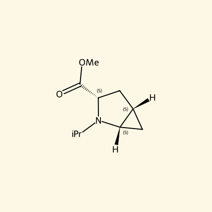 COC(=O)[C@@H]1C[C@@H]2C[C@@H]2N1C(C)C